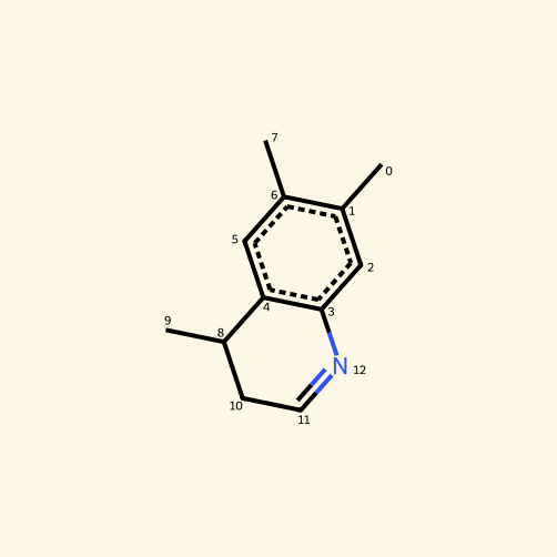 Cc1cc2c(cc1C)C(C)CC=N2